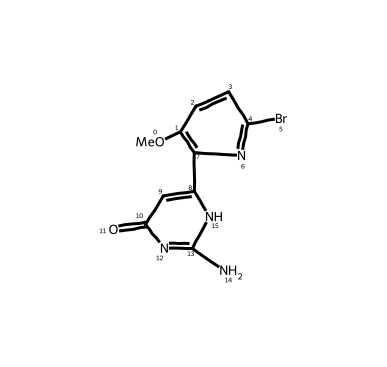 COc1ccc(Br)nc1-c1cc(=O)nc(N)[nH]1